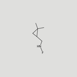 CC1(C)CC1CNF